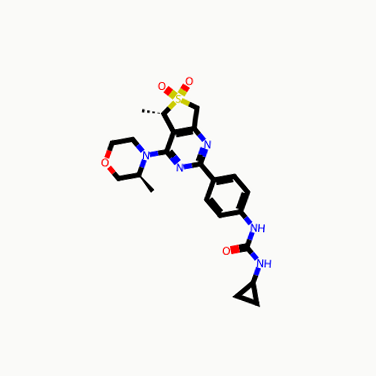 C[C@H]1COCCN1c1nc(-c2ccc(NC(=O)NC3CC3)cc2)nc2c1[C@H](C)S(=O)(=O)C2